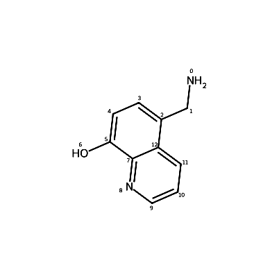 NCc1ccc(O)c2ncccc12